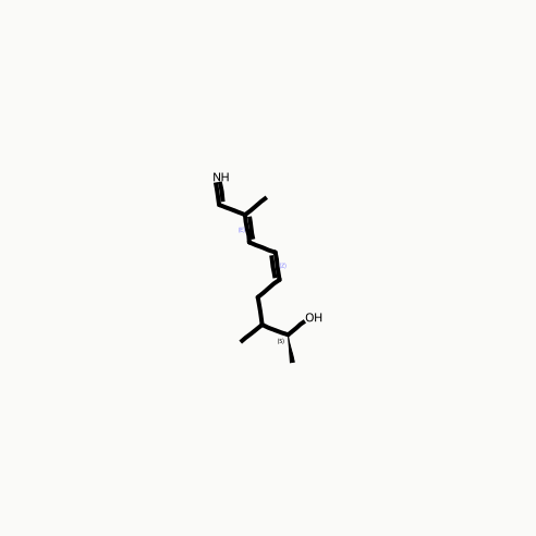 C/C(C=N)=C\C=C/CC(C)[C@H](C)O